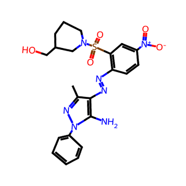 Cc1nn(-c2ccccc2)c(N)c1/N=N/c1ccc([N+](=O)[O-])cc1S(=O)(=O)N1CCCC(CO)C1